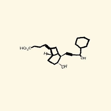 O=C(O)CC/C=C1/CC2[C@@H]1CC[C@@H](O)[C@@H]2C#CC(O)C1CCCCC1